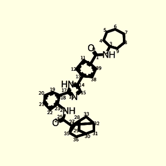 O=C(NC1CCCCCC1)c1ccc(-c2cnc(-c3ccccc3NC(=O)C3C4CC5CC(C4)CC3C5)[nH]2)cc1